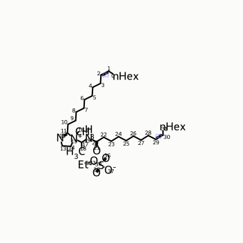 CCCCCC/C=C\CCCCCCCCC1=NCC[N+]1(C)C(C)NC(=O)CCCCCCC/C=C\CCCCCC.CCOS(=O)(=O)[O-]